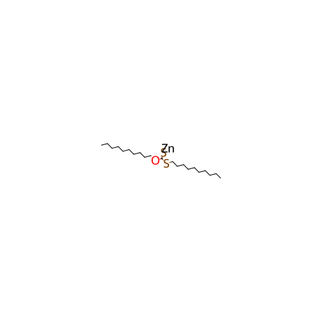 CCCCCCCCCCOC(=S)SCCCCCCCCCC.[Zn]